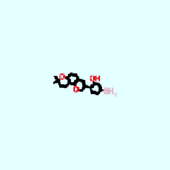 Bc1ccc(C2=Cc3ccc4c(c3OC2)C=CC(C)(C)O4)c(O)c1